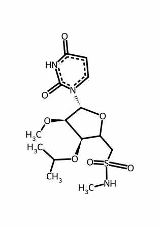 CNS(=O)(=O)CC1O[C@@H](n2ccc(=O)[nH]c2=O)[C@H](OC)[C@@H]1OC(C)C